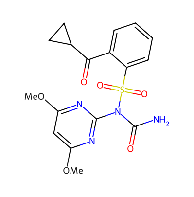 COc1cc(OC)nc(N(C(N)=O)S(=O)(=O)c2ccccc2C(=O)C2CC2)n1